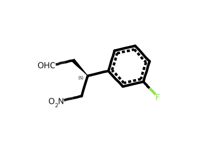 O=CC[C@H](C[N+](=O)[O-])c1cccc(F)c1